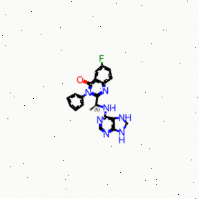 C[C@H](Nc1ncnc2c1NCN2)c1nc2ccc(F)cc2c(=O)n1-c1ccccc1